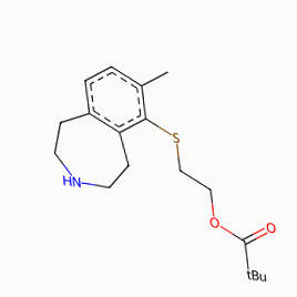 Cc1ccc2c(c1SCCOC(=O)C(C)(C)C)CCNCC2